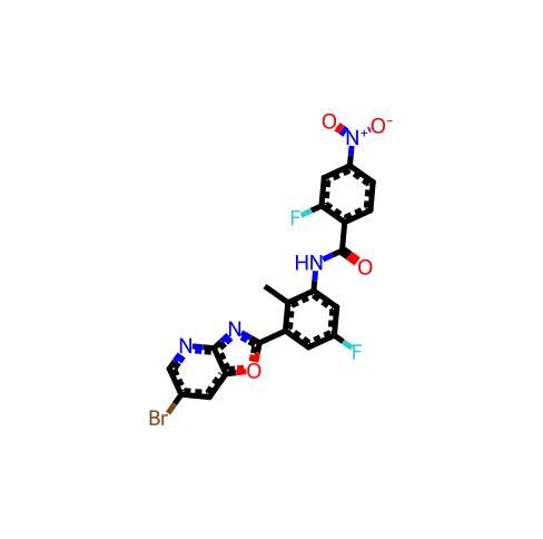 Cc1c(NC(=O)c2ccc([N+](=O)[O-])cc2F)cc(F)cc1-c1nc2ncc(Br)cc2o1